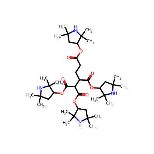 CC1(C)CC(OC(=O)CCC(C(=O)OC2CC(C)(C)NC2(C)C)C(C(=O)OC2CC(C)(C)NC2(C)C)C(=O)OC2CC(C)(C)NC2(C)C)C(C)(C)N1